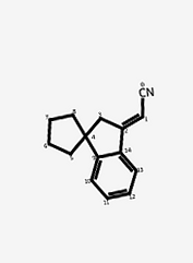 N#CC=C1CC2(CCCC2)c2ccccc21